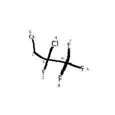 [O]CC(F)(Cl)C(F)(F)F